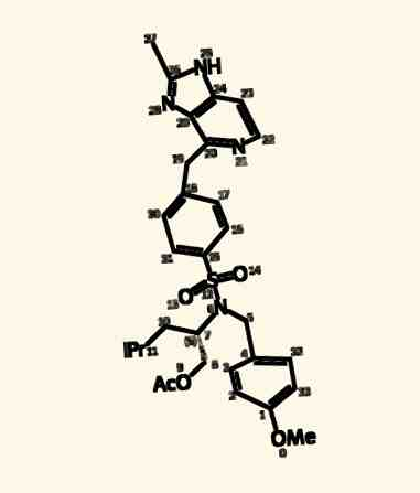 COc1ccc(CN([C@H](COC(C)=O)CC(C)C)S(=O)(=O)c2ccc(Cc3nccc4[nH]c(C)nc34)cc2)cc1